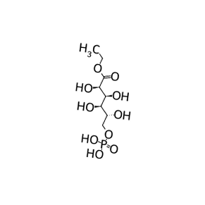 CCOC(=O)[C@H](O)[C@@H](O)[C@H](O)[C@H](O)COP(=O)(O)O